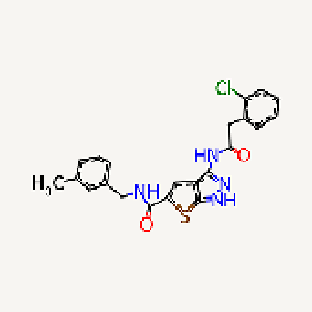 Cc1cccc(CNC(=O)c2cc3c(NC(=O)Cc4ccccc4Cl)n[nH]c3s2)c1